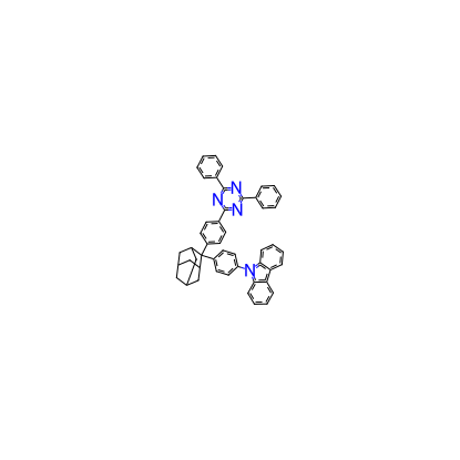 c1ccc(-c2nc(-c3ccccc3)nc(-c3ccc(C4(c5ccc(-n6c7ccccc7c7ccccc76)cc5)C5CC6CC(C5)CC4C6)cc3)n2)cc1